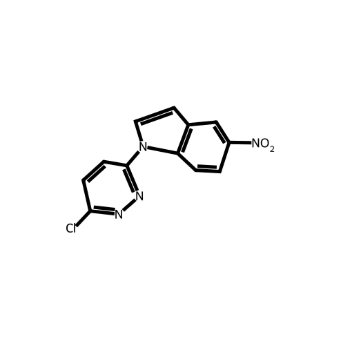 O=[N+]([O-])c1ccc2c(ccn2-c2ccc(Cl)nn2)c1